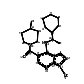 CCn1ncc2c(N[C@H](C)C3CCCCC3)c(C(=O)N3CCC(C)CC3)cnc21